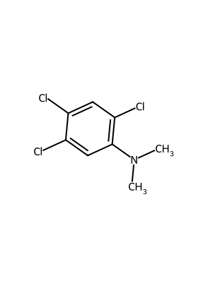 CN(C)c1cc(Cl)c(Cl)cc1Cl